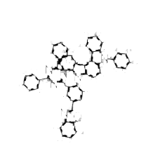 c1ccc(-c2nc(-c3ccccc3)nc(-c3cc(-c4nc5ccccc5o4)ccc3-n3c4ccccc4c4c5c6ccccc6n(-c6ccccc6)c5ccc43)n2)cc1